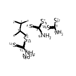 CC(C)C(C)C.NC(=S)[S-].NC(=S)[S-].NC(=S)[S-].[Nd+3]